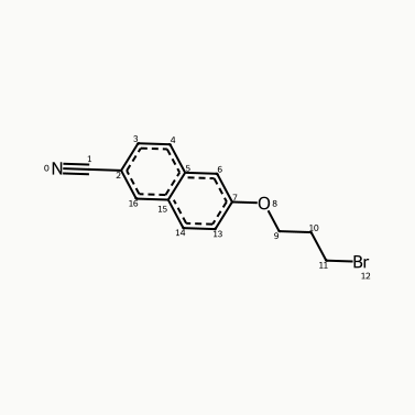 N#Cc1ccc2cc(OCCCBr)ccc2c1